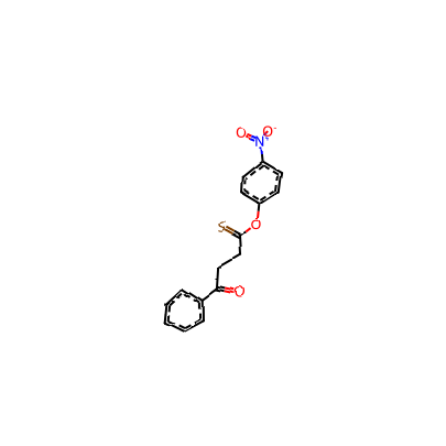 O=C(CCC(=S)Oc1ccc([N+](=O)[O-])cc1)c1ccccc1